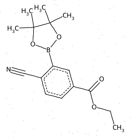 CCOC(=O)c1ccc(C#N)c(B2OC(C)(C)C(C)(C)O2)c1